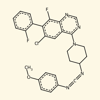 COc1ccc(N=C=NC2CCN(c3ncnc4c(F)c(-c5ccccc5F)c(Cl)cc34)CC2)cc1